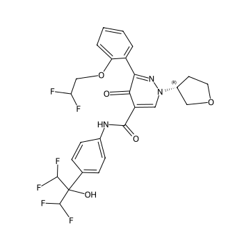 O=C(Nc1ccc(C(O)(C(F)F)C(F)F)cc1)c1cn([C@@H]2CCOC2)nc(-c2ccccc2OCC(F)F)c1=O